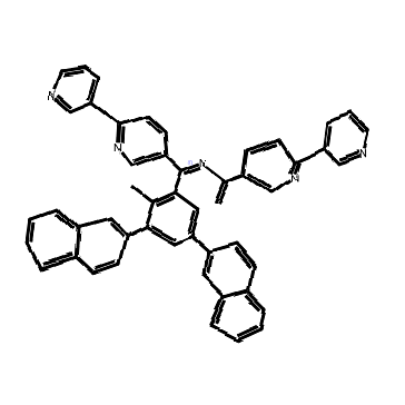 C=C(/N=C(/c1ccc(-c2cccnc2)nc1)c1cc(-c2ccc3ccccc3c2)cc(-c2ccc3ccccc3c2)c1C)c1ccc(-c2cccnc2)nc1